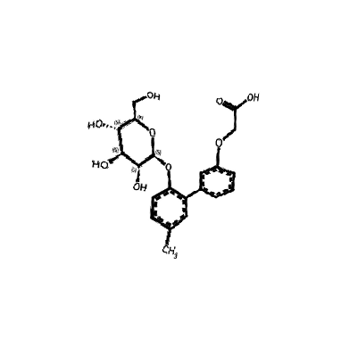 Cc1ccc(O[C@@H]2O[C@H](CO)[C@@H](O)[C@H](O)[C@@H]2O)c(-c2cccc(OCC(=O)O)c2)c1